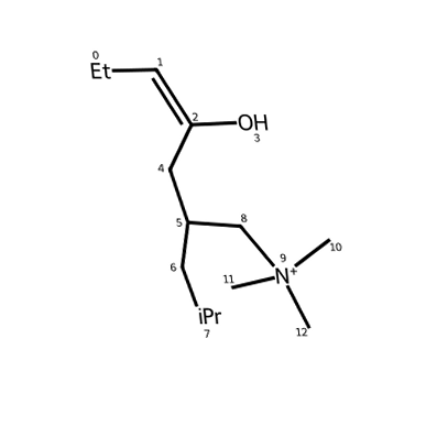 CC/C=C(/O)CC(CC(C)C)C[N+](C)(C)C